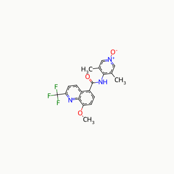 COc1ccc(C(=O)Nc2c(C)c[n+]([O-])cc2C)c2ccc(C(F)(F)F)nc12